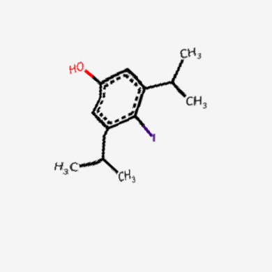 CC(C)c1cc(O)cc(C(C)C)c1I